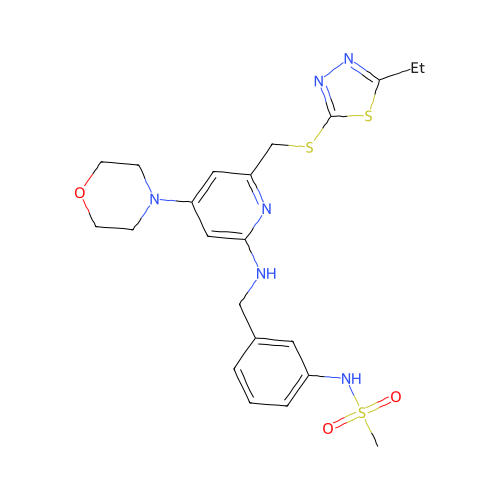 CCc1nnc(SCc2cc(N3CCOCC3)cc(NCc3cccc(NS(C)(=O)=O)c3)n2)s1